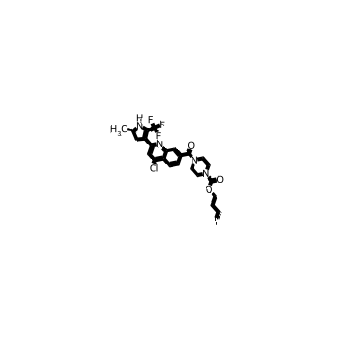 C[C@@H]1CC(c2cc(Cl)c3ccc(C(=O)N4CCN(C(=O)OCCCI)CC4)cc3n2)=C(C(F)(F)F)N1